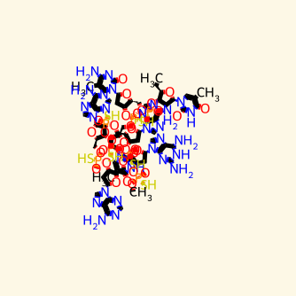 CC[C@H]1O[C@@H](n2cc(C)c(=O)[nH]c2=O)CC1OP(=O)(S)OC[C@H]1O[C@@H](n2cc(C)c(N)nc2=O)CC1OP(=O)(S)OC[C@H]1O[C@@H](n2cc(C)c(=O)[nH]c2=O)CC1OP(=O)(S)OC[C@H]1O[C@@H](n2cnc3c(N)ncnc32)CC1OP(=O)(S)OC[C@H]1O[C@@H](n2cnc3c(N)ncnc32)CC1OP(=O)(S)OC[C@H]1O[C@@H](n2cnc3c(N)ncnc32)CC1OP(=O)(S)OC[C@H]1O[C@@H](n2cnc3c2N=C(N)NC3N)CC1OP(=O)(S)OC